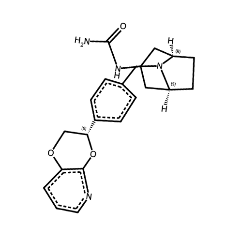 NC(=O)NC1C[C@H]2CC[C@@H](C1)N2Cc1ccc([C@H]2COc3cccnc3O2)cc1